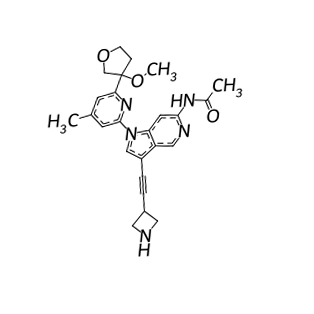 COC1(c2cc(C)cc(-n3cc(C#CC4CNC4)c4cnc(NC(C)=O)cc43)n2)CCOC1